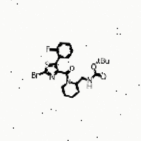 CC(C)(C)OC(=O)NCC1CCCCN1C(=O)c1nc(Br)sc1-c1ccccc1F